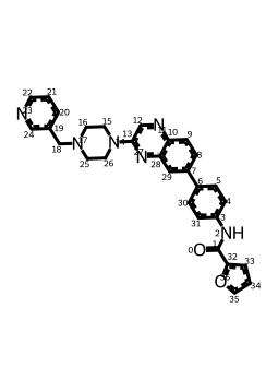 O=C(Nc1ccc(-c2ccc3ncc(N4CCN(Cc5cccnc5)CC4)nc3c2)cc1)c1ccco1